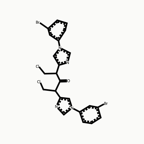 O=C(C(CCl)c1cn(-c2cccc(Br)c2)cn1)C(CCl)c1cn(-c2cccc(Br)c2)cn1